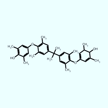 CC1=CC(Oc2c(C)cc(C(C)(C)c3cc(C)c(Oc4cc(C)c(O)c(C)c4)c(C)c3)cc2C)=CC(C)C1O